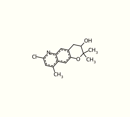 Cc1cc(Cl)nc2cc3c(cc12)OC(C)(C)C(O)C3